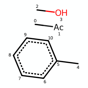 CC(C)=O.CO.Cc1ccccc1